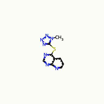 Cn1nnnc1Sc1ncnc2ncccc12